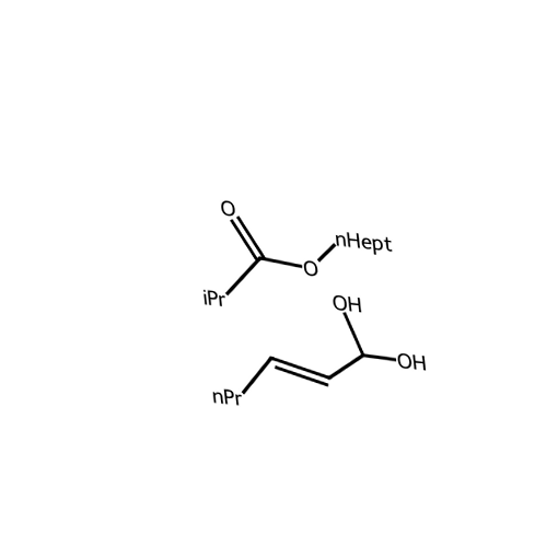 CCC/C=C/C(O)O.CCCCCCCOC(=O)C(C)C